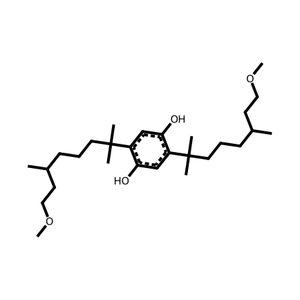 COCCC(C)CCCC(C)(C)c1cc(O)c(C(C)(C)CCCC(C)CCOC)cc1O